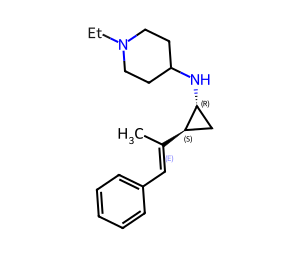 CCN1CCC(N[C@@H]2C[C@H]2/C(C)=C/c2ccccc2)CC1